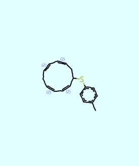 Cc1ccc(SC2/C=C\C=C/C/C=C\C=C/C2)cc1